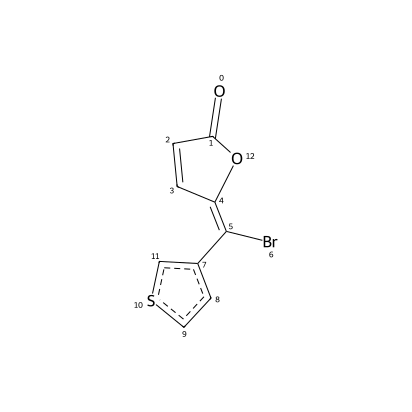 O=C1C=CC(=C(Br)c2ccsc2)O1